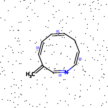 C=C1/C=C\C=C/C/C=C\N=C/1